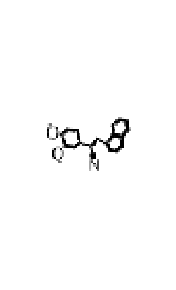 COc1ccc(C(C#N)=Cc2cccc3ccccc23)cc1OC